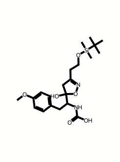 COc1ccc(CC(NC(=O)O)C2(O)CC(CCO[Si](C)(C)C(C)(C)C)=NO2)cc1